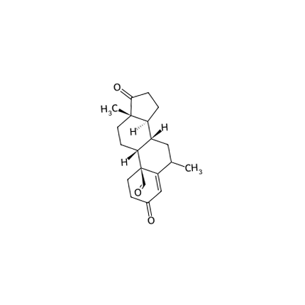 CC1C[C@@H]2[C@@H](CC[C@]3(C)C(=O)CC[C@@H]23)[C@@]2(C=O)CCC(=O)C=C12